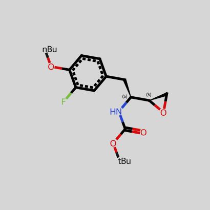 CCCCOc1ccc(C[C@H](NC(=O)OC(C)(C)C)[C@H]2CO2)cc1F